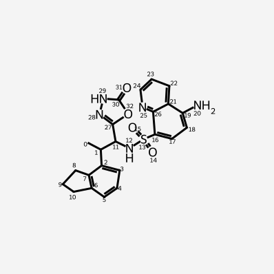 CC(c1cccc2c1CCC2)C(NS(=O)(=O)c1ccc(N)c2cccnc12)c1n[nH]c(=O)o1